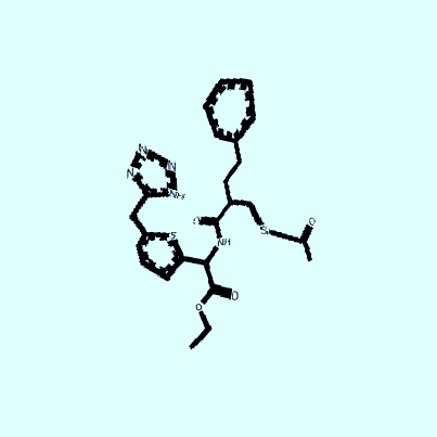 CCOC(=O)C(NC(=O)C(CCc1ccccc1)CSC(C)=O)c1ccc(Cc2nnn[nH]2)s1